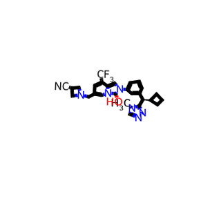 Cn1cnnc1[C@@H](c1cccc(N2C=C3C(C(F)(F)F)=CC(CN4CC(C#N)C4)=CN3C2O)c1)C1CCC1